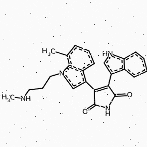 CNCCCn1cc(C2=C(c3c[nH]c4ccccc34)C(=O)NC2=O)c2cccc(C)c21